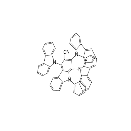 N#Cc1c(-n2c3ccccc3c3ccccc32)c(-n2c3ccccc3c3ccccc32)c2c(c1-n1c3ccccc3c3ccccc31)c1ccccc1n2-c1ccccc1